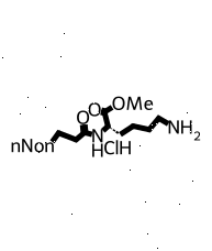 CCCCCCCCCCCC(=O)N[C@@H](CCCCN)C(=O)OC.Cl